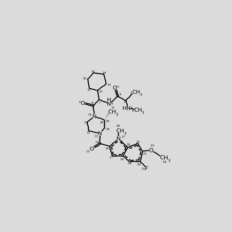 CNC(C)C(=O)NC(C(=O)N1CCN(C(=O)c2cc3cc(F)c(OC)cc3n2C)C[C@H]1C)C1CCCCC1